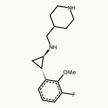 COc1c(F)cccc1[C@@H]1C[C@H]1NCC1CCNCC1